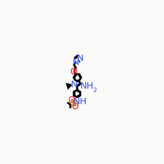 CC(C)S(=O)(=O)Nc1ccc(-c2c(N)c3ccc(OCCn4ccnc4)cc3n2C2CC2)cc1